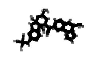 C[C@@H]1C[C@@H]2Oc3cc(OC(F)(F)F)ccc3[C@@H]2N(C(=O)c2cc3c(cn2)nc(N)c2cncn23)C1